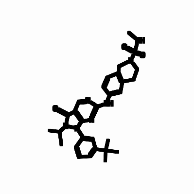 CNS(=O)(=O)N1CCc2cc(Nc3ncc4c(=O)n(C(C)C)n(-c5cccc(C(C)(C)C)c5)c4n3)ccc2C1